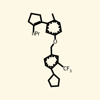 CCCC1=C(c2cc(OCc3ccc(C4CCCC4)c(C(F)(F)F)c3)ccc2C)CCC1